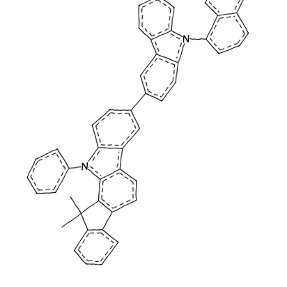 CC1(C)c2ccccc2-c2ccc3c4cc(-c5ccc6c(c5)c5ccccc5n6-c5cccc6ccccc56)ccc4n(-c4ccccc4)c3c21